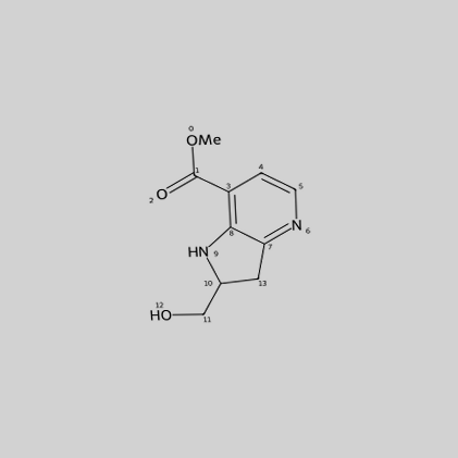 COC(=O)c1ccnc2c1NC(CO)C2